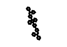 C(=C(c1ccccc1)c1ccccc1)c1ccc(-c2ccc(-c3c4ccccc4c(-c4ccc(C=C(c5ccccc5)c5ccccc5)cc4)c4ccccc34)cc2)cc1